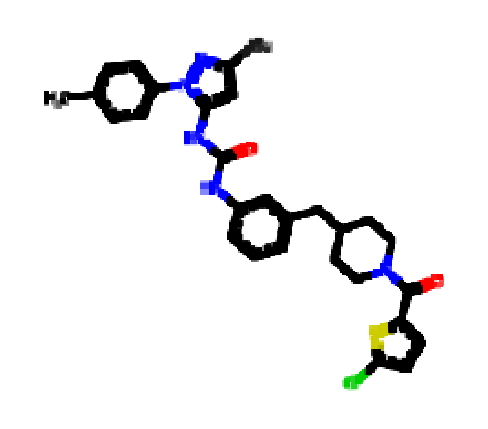 Cc1ccc(-n2nc(C(C)(C)C)cc2NC(=O)Nc2cccc(CC3CCN(C(=O)c4ccc(Cl)s4)CC3)c2)cc1